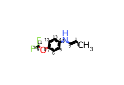 CC=CNc1ccc(OC(F)F)cc1